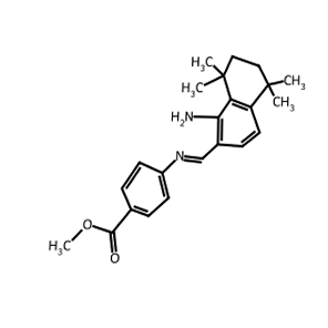 COC(=O)c1ccc(N=Cc2ccc3c(c2N)C(C)(C)CCC3(C)C)cc1